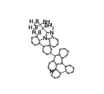 BC(B)(B)C(B)(B)c1nc2ccccc2n1-c1ccccc1-c1ccc(-c2c3ccccc3c(-c3ccccc3-c3cccnc3)c3ccccc23)cc1